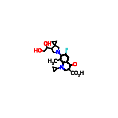 Cc1c(N2CC(C(O)CO)C3(CC3)C2)c(F)cc2c(=O)c(C(=O)O)cn(C3CC3)c12